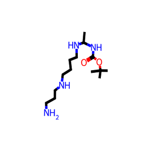 CC(NCCCCNCCCN)NC(=O)OC(C)(C)C